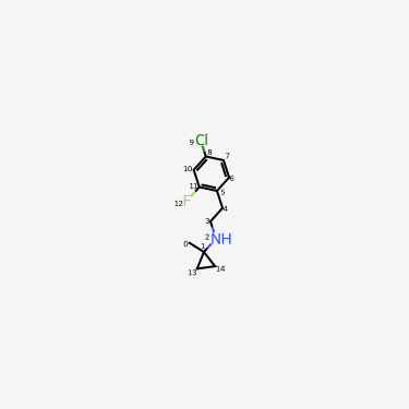 CC1(NCCc2ccc(Cl)cc2F)CC1